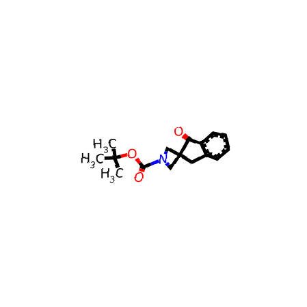 CC(C)(C)OC(=O)N1CC2(Cc3ccccc3C2=O)C1